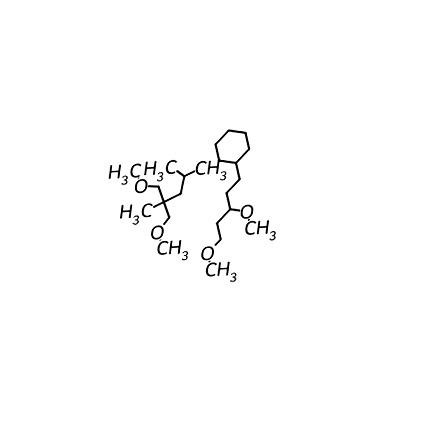 COCC(C)(COC)CC(C)C.COCCC(CCC1CCCCC1)OC